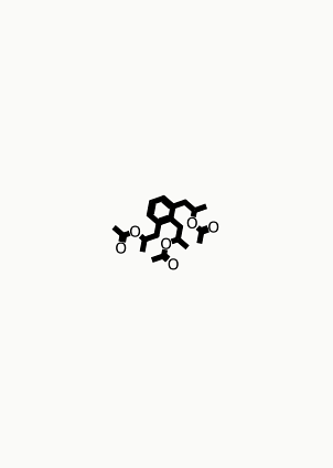 CC(=O)OC(C)Cc1cccc(CC(C)OC(C)=O)c1CC(C)OC(C)=O